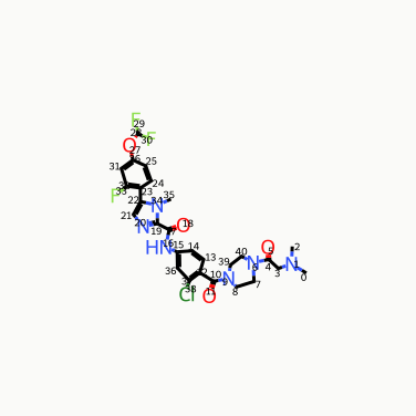 CN(C)CC(=O)N1CCN(C(=O)c2ccc(NC(=O)c3ncc(-c4ccc(OC(F)F)cc4F)n3C)cc2Cl)CC1